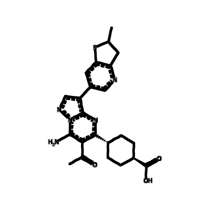 CC(=O)c1c(N)n2ncc(-c3cnc4c(c3)SC(C)C4)c2nc1[C@H]1CC[C@H](C(=O)O)CC1